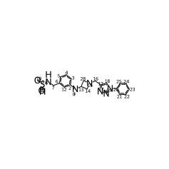 CN(c1cccc(CN[SH](=O)=O)c1)C1CN(Cc2cn(-c3ccccc3)nn2)C1